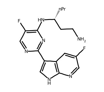 CCC[C@H](CCN)Nc1nc(-c2c[nH]c3ncc(F)cc23)ncc1F